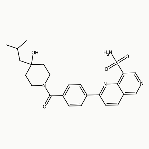 CC(C)CC1(O)CCN(C(=O)c2ccc(-c3ccc4cncc(S(N)(=O)=O)c4n3)cc2)CC1